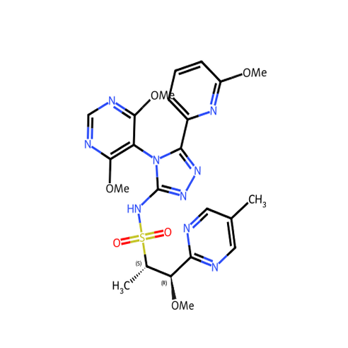 COc1cccc(-c2nnc(NS(=O)(=O)[C@@H](C)[C@H](OC)c3ncc(C)cn3)n2-c2c(OC)ncnc2OC)n1